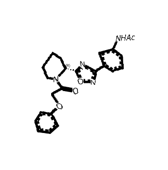 CC(=O)Nc1cccc(-c2noc([C@H]3CCCCN3C(=O)COc3ccccc3)n2)c1